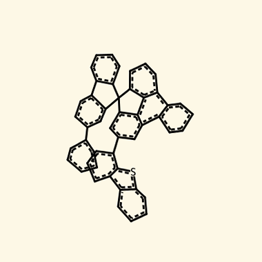 c1ccc(-c2ccc3c(c2)C2(c4ccccc4-3)c3cccc4c5ccccc5c5cc(-c6cccc7c6sc6ccccc67)cc2c5c34)cc1